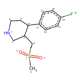 CS(=O)(=O)CC1CNCCC1c1ccc(F)cc1